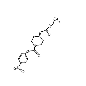 CCOC(=O)C=C1CCN(C(=O)Oc2ccc([N+](=O)[O-])cc2)CC1